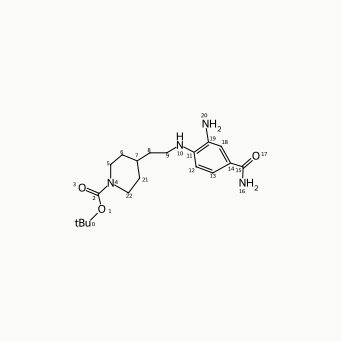 CC(C)(C)OC(=O)N1CCC(CCNc2ccc(C(N)=O)cc2N)CC1